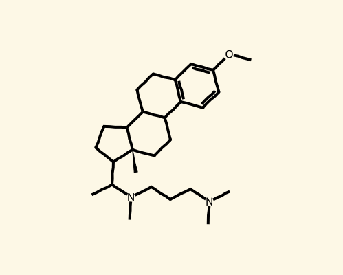 COc1ccc2c(c1)CCC1C2CC[C@@]2(C)C1CCC2C(C)N(C)CCCN(C)C